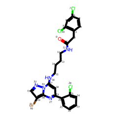 O=C(Cc1ccc(Cl)cc1Cl)NCCCCNc1cc(-c2ccccc2Cl)nc2c(Br)cnn12